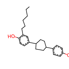 CCCCCCc1cc(C2CCC(c3ccc(O)cc3)CC2)ccc1O